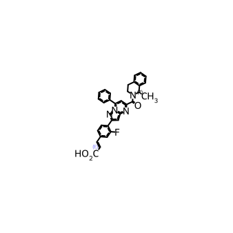 C[C@@H]1c2ccccc2CCN1C(=O)c1cc(-c2ccccc2)n2nc(-c3ccc(/C=C/C(=O)O)cc3F)cc2n1